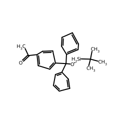 CC(=O)c1ccc(C(O[SiH2]C(C)(C)C)(c2ccccc2)c2ccccc2)cc1